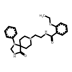 CCOc1ccccc1C(=O)NCCN1CCC2(CC1)C(=O)NCN2c1ccccc1